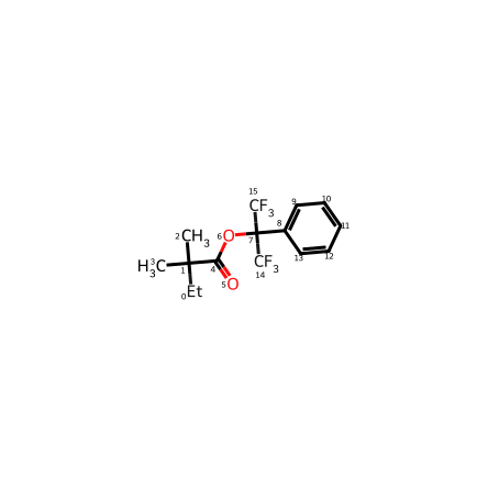 CCC(C)(C)C(=O)OC(c1ccccc1)(C(F)(F)F)C(F)(F)F